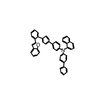 c1ccc(-c2ccc(N(c3ccc(-c4ccc(-c5ccccc5-c5cc6ccccc6o5)cc4)cc3)c3cccc4ccccc34)cc2)cc1